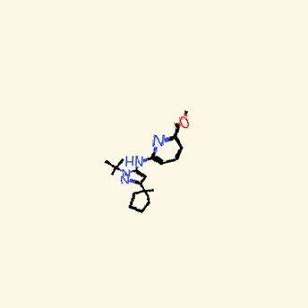 COCc1cccc(Nc2cc(C3(C)CCCC3)nn2C(C)(C)C)n1